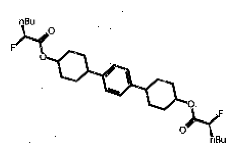 CCCC[C@H](F)C(=O)OC1CCC(c2ccc(C3CCC(OC(=O)[C@@H](F)CCCC)CC3)cc2)CC1